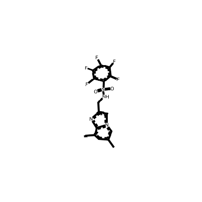 Cc1cc(C)c2nc(CNS(=O)(=O)c3c(F)c(F)c(F)c(F)c3F)cn2c1